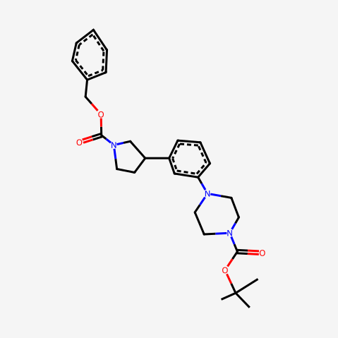 CC(C)(C)OC(=O)N1CCN(c2cccc(C3CCN(C(=O)OCc4ccccc4)C3)c2)CC1